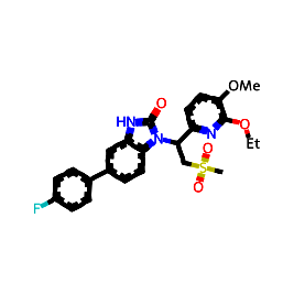 CCOc1nc(C(CS(C)(=O)=O)n2c(=O)[nH]c3cc(-c4ccc(F)cc4)ccc32)ccc1OC